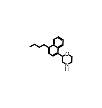 CCCCc1ccc(C2CNCCO2)c2ccccc12